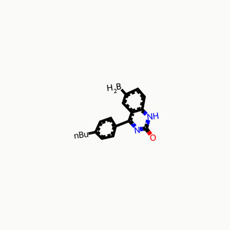 Bc1ccc2[nH]c(=O)nc(-c3ccc(CCCC)cc3)c2c1